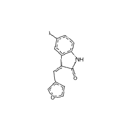 O=C1Nc2ccc(I)cc2C1=Cc1ccoc1